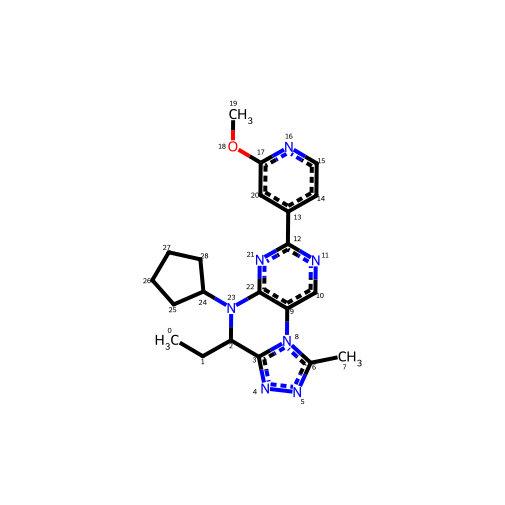 CCC1c2nnc(C)n2-c2cnc(-c3ccnc(OC)c3)nc2N1C1CCCC1